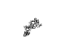 O=C(CN(C(=O)c1ccc(F)cc1)c1ccc2scnc2c1)Nc1ccc(-c2ncon2)cc1